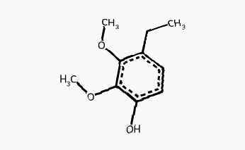 CCc1ccc(O)c(OC)c1OC